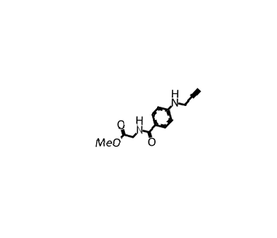 C#CCNc1ccc(C(=O)NCC(=O)OC)cc1